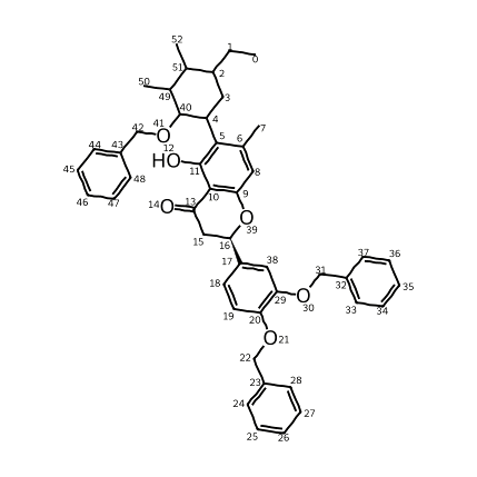 CCC1CC(c2c(C)cc3c(c2O)C(=O)C[C@H](c2ccc(OCc4ccccc4)c(OCc4ccccc4)c2)O3)C(OCc2ccccc2)C(C)C1C